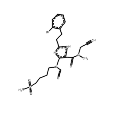 C#CCN(C)C(=O)c1[nH]c(CCc2ccccc2Br)nc1N(C=O)CCCCS(N)(=O)=O